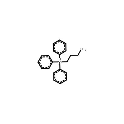 CCC[CH2][SbH]([c]1ccccc1)([c]1ccccc1)[c]1ccccc1